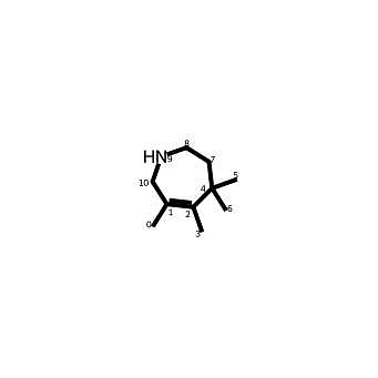 CC1=C(C)C(C)(C)CCNC1